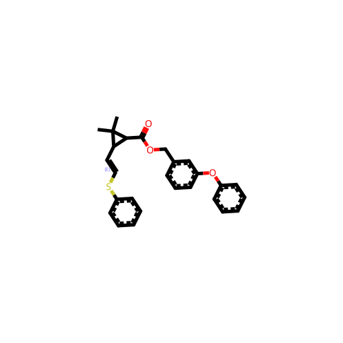 CC1(C)C(/C=C/Sc2ccccc2)C1C(=O)OCc1cccc(Oc2ccccc2)c1